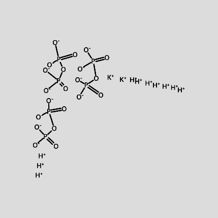 O=P([O-])([O-])OP(=O)([O-])[O-].O=P([O-])([O-])OP(=O)([O-])[O-].O=P([O-])([O-])OP(=O)([O-])[O-].[H+].[H+].[H+].[H+].[H+].[H+].[H+].[H+].[H+].[H+].[K+].[K+]